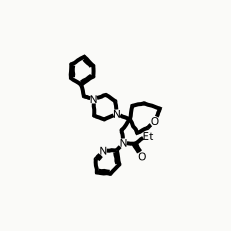 CCC(=O)N(CC1(N2CCN(Cc3ccccc3)CC2)CCCOCC1)c1ccccn1